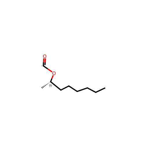 CCCCCC[C@H](C)O[C]=O